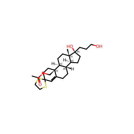 CC(=O)OC[C@]12CCC3(C=C1CC[C@@H]1[C@@H]2CC[C@@]2(C)[C@H]1CC[C@@]2(O)CCCO)SCCS3